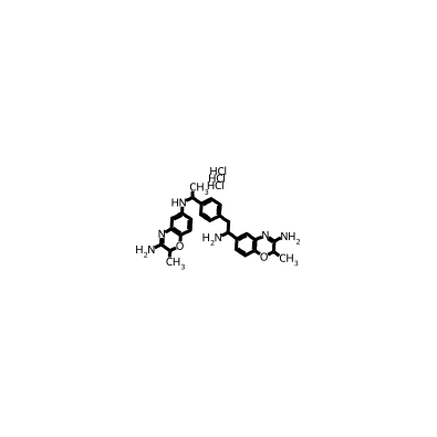 CC1Oc2ccc(NC(C)c3ccc(CC(N)c4ccc5c(c4)N=C(N)C(C)O5)cc3)cc2N=C1N.Cl.Cl.Cl